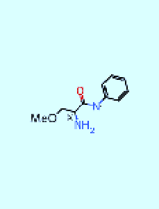 COC[C@H](N)C(=O)[N]c1ccccc1